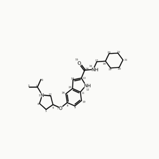 CC(C)N1CCC(Oc2ccc3[nH]c(C(=O)NCC4CCCCC4)cc3c2)C1